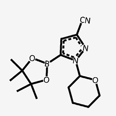 CC1(C)OB(c2cc(C#N)nn2C2CCCCO2)OC1(C)C